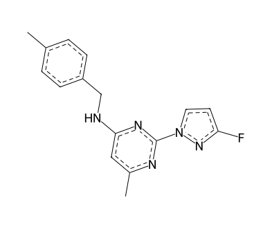 Cc1ccc(CNc2cc(C)nc(-n3ccc(F)n3)n2)cc1